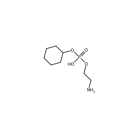 NCCOP(=O)(O)OC1CCCCC1